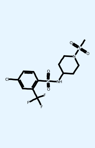 CS(=O)(=O)N1CCC(NS(=O)(=O)c2ccc(Cl)cc2C(F)(F)F)CC1